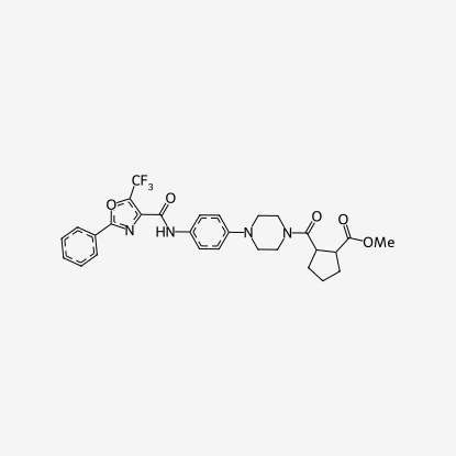 COC(=O)C1CCCC1C(=O)N1CCN(c2ccc(NC(=O)c3nc(-c4ccccc4)oc3C(F)(F)F)cc2)CC1